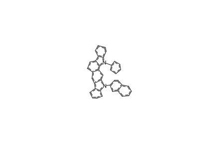 c1ccc(-n2c3ccccc3c3ccc4cc5c6ccccc6n(-c6ccc7ccccc7c6)c5cc4c32)cc1